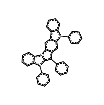 c1ccc(-c2c3cc4c(cc3n3c5ccccc5n(-c5ccccc5)c23)c2ccccc2n4-c2ccccc2)cc1